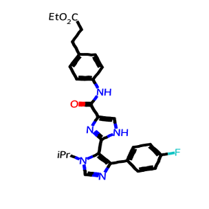 CCOC(=O)CCc1ccc(NC(=O)c2c[nH]c(-c3c(-c4ccc(F)cc4)ncn3C(C)C)n2)cc1